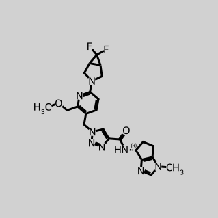 COCc1nc(N2CC3C(C2)C3(F)F)ccc1Cn1cc(C(=O)N[C@@H]2CCc3c2ncn3C)nn1